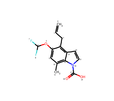 C=CCc1c(OC(F)F)cc(C)c2c1ccn2C(=O)O